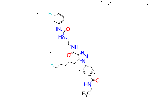 O=C(NCCNC(=O)c1nnn(-c2ccc(C(=O)NCC(F)(F)F)cc2)c1CCCCCF)Nc1cccc(F)c1